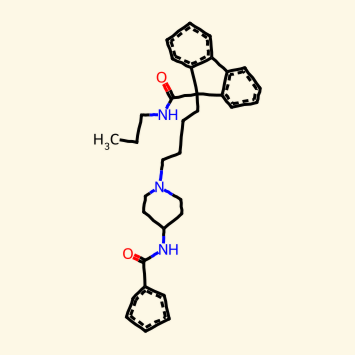 CCCNC(=O)C1(CCCCN2CCC(NC(=O)c3ccccc3)CC2)c2ccccc2-c2ccccc21